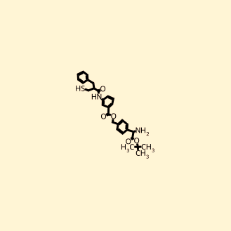 CC(C)(C)OC(=O)C(N)c1ccc(COC(=O)c2cccc(NC(=O)C(CS)Cc3ccccc3)c2)cc1